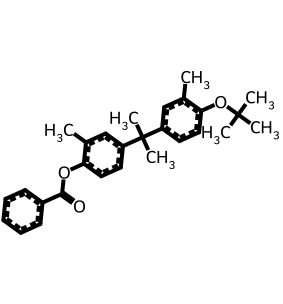 Cc1cc(C(C)(C)c2ccc(OC(C)(C)C)c(C)c2)ccc1OC(=O)c1ccccc1